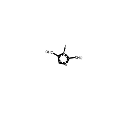 O=Cc1cnc(C=O)n1I